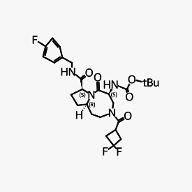 CC(C)(C)OC(=O)N[C@H]1CN(C(=O)C2CC(F)(F)C2)CC[C@H]2CC[C@@H](C(=O)NCc3ccc(F)cc3)N2C1=O